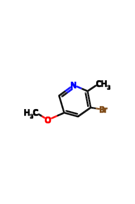 COc1cnc(C)c(Br)c1